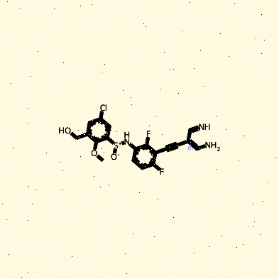 COc1c(CO)cc(Cl)cc1[S+]([O-])Nc1ccc(F)c(C#C/C(C=N)=C/N)c1F